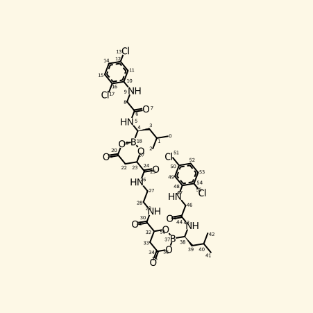 CC(C)C[C@H](NC(=O)CNc1cc(Cl)ccc1Cl)B1OC(=O)CC(C(=O)NCCNC(=O)C2CC(=O)OB([C@H](CC(C)C)NC(=O)CNc3cc(Cl)ccc3Cl)O2)O1